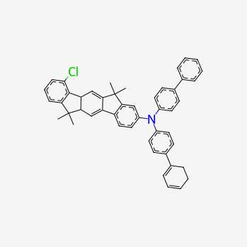 CC1(C)C2=CC3c4c(Cl)cccc4C(C)(C)C3C=C2c2ccc(N(c3ccc(C4=CC=CCC4)cc3)c3ccc(-c4ccccc4)cc3)cc21